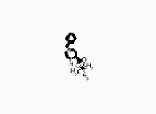 CC(C)(C)OC(=O)C1CCN(Cc2ccccc2)CCP1